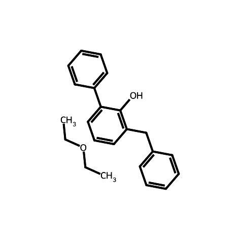 CCOCC.Oc1c(Cc2ccccc2)cccc1-c1ccccc1